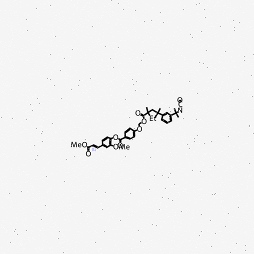 CCC(C)(CC(C)(C)c1cccc(C(C)(C)N=C=O)c1)C(=O)OCOc1ccc(C(=O)Oc2ccc(/C=C/C(=O)OC)cc2OC)cc1